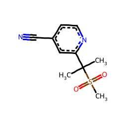 CC(C)(c1cc(C#N)ccn1)S(C)(=O)=O